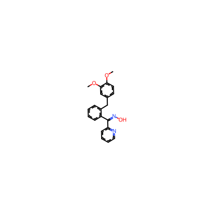 COc1ccc(Cc2ccccc2C(=NO)c2ccccn2)cc1OC